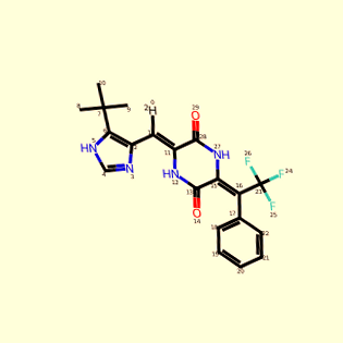 [2H]C(c1nc[nH]c1C(C)(C)C)=c1[nH]c(=O)c(=C(c2ccccc2)C(F)(F)F)[nH]c1=O